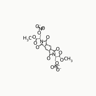 COC(=O)C(CO[N+](=O)[O-])n1c(=O)c2cc3c(=O)n(C(CO[N+](=O)[O-])C(=O)OC)c(=O)c3cc2c1=O